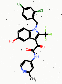 Cc1cc(NC(=O)C(=O)c2c(C(F)(F)F)n(Cc3ccc(Cl)cc3Cl)c3ccc(O)cc23)ccn1